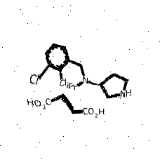 CC(C)N(Cc1cccc(Cl)c1Cl)[C@H]1CCNC1.O=C(O)/C=C/C(=O)O